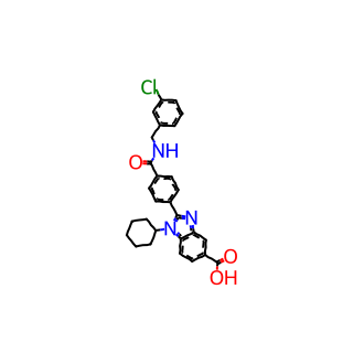 O=C(O)c1ccc2c(c1)nc(-c1ccc(C(=O)NCc3cccc(Cl)c3)cc1)n2C1CCCCC1